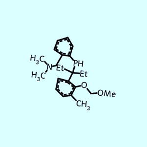 CCC(CC)(Pc1ccccc1CN(C)C)c1cccc(C)c1OCOC